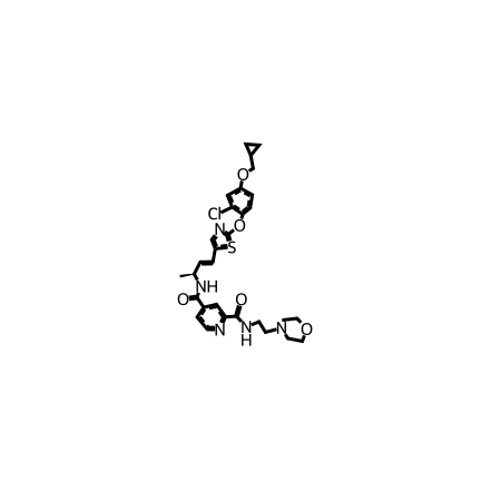 C[C@@H](/C=C/c1cnc(Oc2ccc(OCC3CC3)cc2Cl)s1)NC(=O)c1ccnc(C(=O)NCCN2CCOCC2)c1